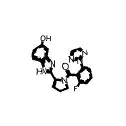 O=C(c1c(F)cccc1-n1nccn1)N1CCCC1c1nc2cc(O)ccc2[nH]1